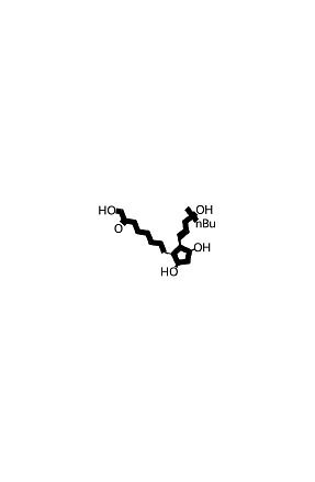 CCCCC(C)(O)CC=C[C@@H]1[C@@H](CCCCCCC(=O)CO)[C@H](O)C[C@H]1O